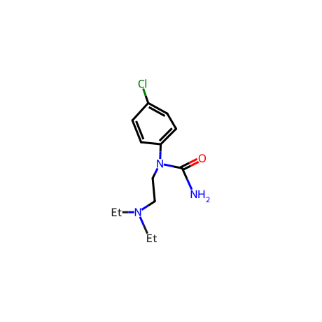 CCN(CC)CCN(C(N)=O)c1ccc(Cl)cc1